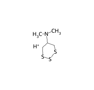 CN(C)C1CSSSC1.[H+]